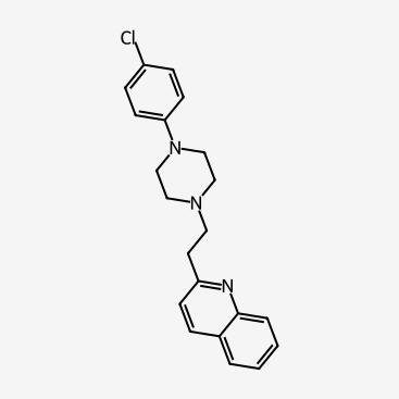 Clc1ccc(N2CCN(CCc3ccc4ccccc4n3)CC2)cc1